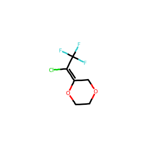 FC(F)(F)C(Cl)=C1COCCO1